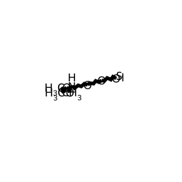 CC(C)(C)OC(=O)NCCCCOCCCCOCCCCOSI